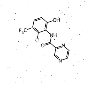 O=C(Nc1c(O)ccc(C(F)(F)F)c1Cl)c1cnccn1